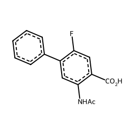 CC(=O)Nc1cc(-c2ccccc2)c(F)cc1C(=O)O